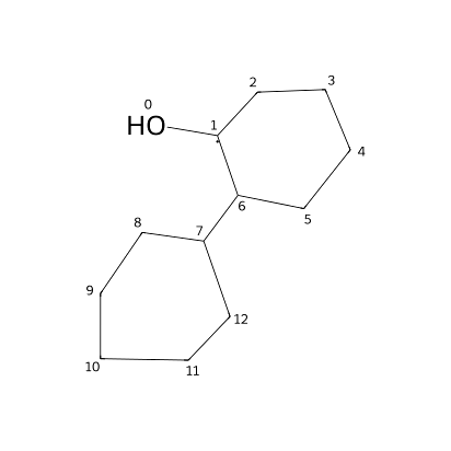 O[C]1CCCCC1C1CCCCC1